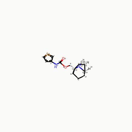 O=C(Nc1ccsc1)OC[C@]12CCC[C@H](CC1)N2C(=O)O